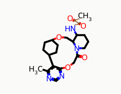 Cc1ncnc2c1C1CCC(CC1)OCC1C(NS(C)(=O)=O)CCCN1C(=O)CO2